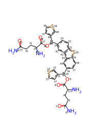 NC(=O)CCC(N)C(=O)OB(c1ccsc1)c1ccc2sc3ccc(B(OC(=O)C(N)CCC(N)=O)c4ccsc4)cc3c2c1